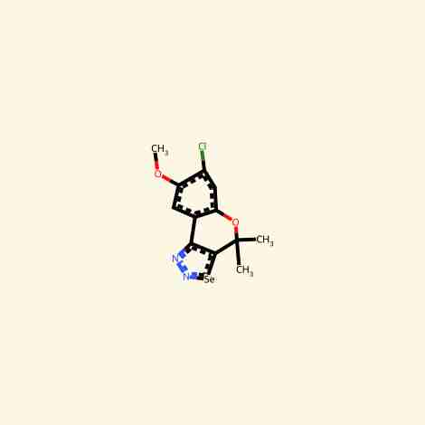 COc1cc2c(cc1Cl)OC(C)(C)c1[se]nnc1-2